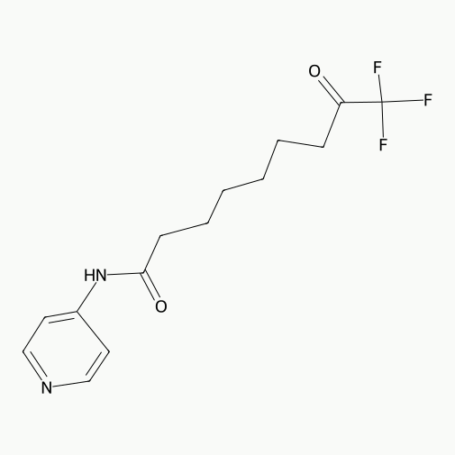 O=C(CCCCCCC(=O)C(F)(F)F)Nc1ccncc1